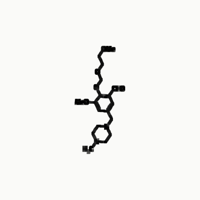 COCCOCOc1c(C=O)cc(CN2CCN(C)CC2)cc1OC